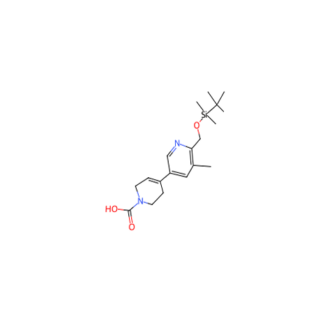 Cc1cc(C2=CCN(C(=O)O)CC2)cnc1CO[Si](C)(C)C(C)(C)C